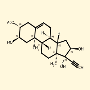 C#C[C@]1(O)[C@H](O)C[C@H]2[C@@H]3CC=C4C[C@@H](OC(C)=O)[C@H](O)C[C@]4(C)[C@H]3CC[C@@]21C